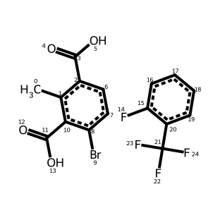 Cc1c(C(=O)O)ccc(Br)c1C(=O)O.Fc1ccccc1C(F)(F)F